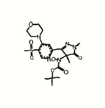 CN1N=C(c2ccc(S(C)(=O)=O)c(N3CCOCC3)c2)C(C)(N(O)C(=O)OC(C)(C)C)C1=O